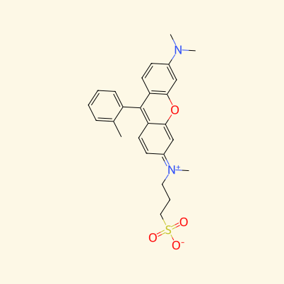 Cc1ccccc1-c1c2cc/c(=[N+](/C)CCCS(=O)(=O)[O-])cc-2oc2cc(N(C)C)ccc12